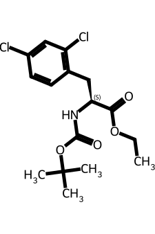 CCOC(=O)[C@H](Cc1ccc(Cl)cc1Cl)NC(=O)OC(C)(C)C